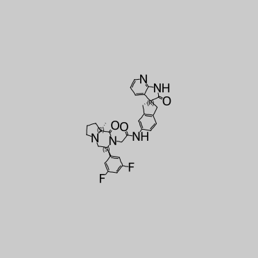 C[C@@]12CCCN1C[C@H](c1cc(F)cc(F)c1)N(CC(=O)Nc1ccc3c(c1)C[C@@]1(C3)C(=O)Nc3ncccc31)C2=O